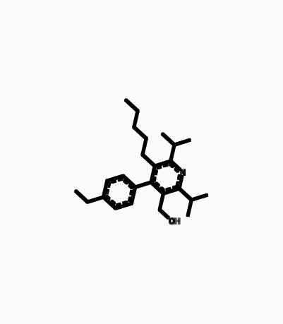 CCCCCc1c(C(C)C)nc(C(C)C)c(CO)c1-c1ccc(CC)cc1